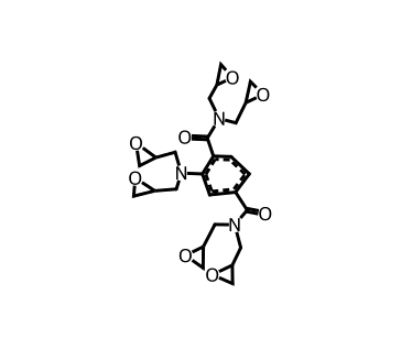 O=C(c1ccc(C(=O)N(CC2CO2)CC2CO2)c(N(CC2CO2)CC2CO2)c1)N(CC1CO1)CC1CO1